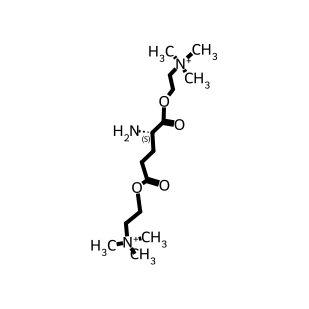 C[N+](C)(C)CCOC(=O)CC[C@H](N)C(=O)OCC[N+](C)(C)C